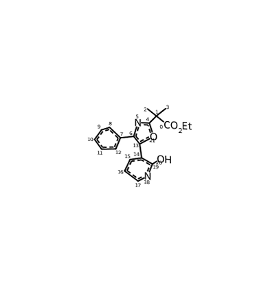 CCOC(=O)C(C)(C)c1nc(-c2ccccc2)c(-c2cccnc2O)o1